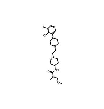 COCN(C)C(=O)NC1CCC(CCN2CCN(c3cccc(Cl)c3Cl)CC2)CC1